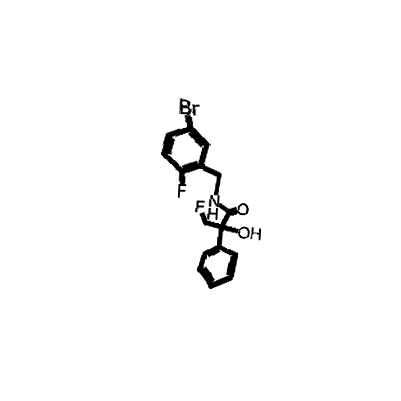 O=C(NCc1cc(Br)ccc1F)C(O)(CF)c1ccccc1